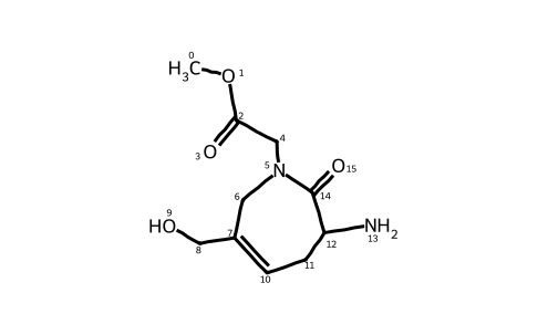 COC(=O)CN1CC(CO)=CCC(N)C1=O